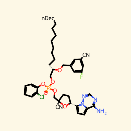 CCCCCCCCCCCCCCCCCC[C@@H](COP(=O)(OC[C@]1(C#N)CC[C@H](c2ccc3c(N)ncnn23)O1)Oc1ccccc1Cl)OCc1cc(F)cc(C#N)c1